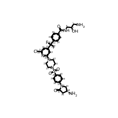 NCC(O)CNC(=O)c1ccc(C(F)(F)c2cc(Cl)nc(N3CCN(S(=O)(=O)c4ccc(N5C[C@H](N)CC5=O)cc4)CC3)c2)cc1